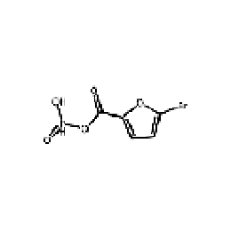 O=C(O[PH](=O)O)c1ccc(Br)o1